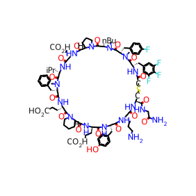 CCCC[C@H]1C(=O)N2CCC[C@@H]2C(=O)N[C@@H](CC(=O)O)C(=O)N[C@@H](C(C)C)C(=O)N(C)[C@@H](Cc2ccccc2)C(=O)N[C@@H](CCC(=O)O)C(=O)N2CCCC[C@@H]2C(=O)N[C@H](CCC(=O)O)C(=O)N[C@@H](Cc2ccc(O)cc2)C(=O)N[C@@H](CCCN)C(=O)N[C@H](C(=O)NCC(N)=O)CSCC(=O)N[C@@H](Cc2cc(F)c(F)c(F)c2)C(=O)N(C)[C@@H](Cc2ccc(F)cc2)C(=O)N1C